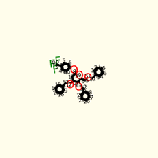 FC(F)(F)c1ccc(O[C@H]2CC(OCc3ccccc3)[C@H](OCc3ccccc3)C(COCc3ccccc3)O2)cc1